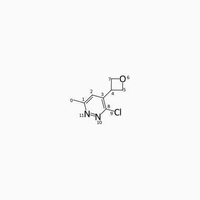 Cc1cc(C2COC2)c(Cl)nn1